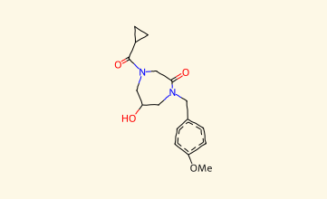 COc1ccc(CN2CC(O)CN(C(=O)C3CC3)CC2=O)cc1